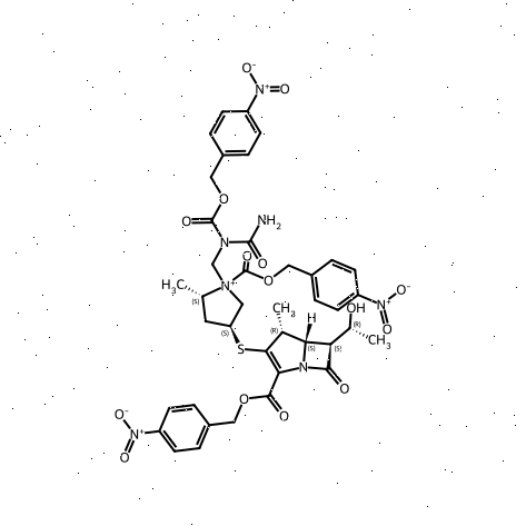 C[C@@H](O)[C@H]1C(=O)N2C(C(=O)OCc3ccc([N+](=O)[O-])cc3)=C(S[C@H]3C[C@H](C)[N+](CN(C(N)=O)C(=O)OCc4ccc([N+](=O)[O-])cc4)(C(=O)OCc4ccc([N+](=O)[O-])cc4)C3)[C@H](C)[C@H]12